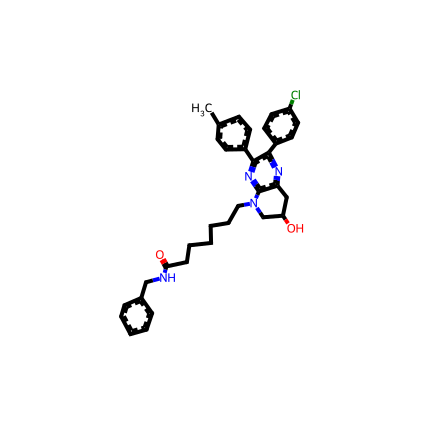 Cc1ccc(-c2nc3c(nc2-c2ccc(Cl)cc2)CC(O)CN3CCCCCCC(=O)NCc2ccccc2)cc1